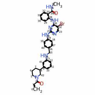 C=CC(=O)N1CCCC(c2cccc(NCc3ccc(Nc4ncc(Br)c(Nc5ccccc5C(=O)NC)n4)cc3)c2)C1